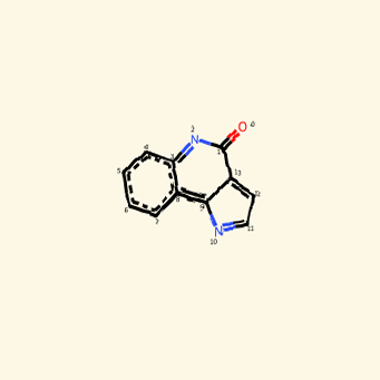 O=C1N=c2ccccc2=C2N=CC=C12